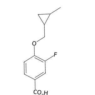 CC1CC1COc1ccc(C(=O)O)cc1F